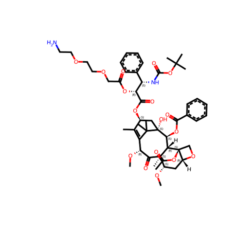 CO[C@H]1C(=O)[C@]2(C)[C@@H](OC)C[C@H]3OC[C@@]3(OC(C)=O)[C@H]2[C@H](OC(=O)c2ccccc2)[C@]2(O)C[C@H](OC(=O)[C@H](OC(=O)COCCOCCN)[C@@H](NC(=O)OC(C)(C)C)c3ccccc3)C(C)=C1C2(C)C